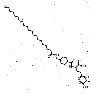 CC(NC(=O)CCC(NC(=O)C1CCC(CNC(=O)CCCCCCCCCCCCCCCCCCC=O)CC1)C(=O)O)C(=O)O